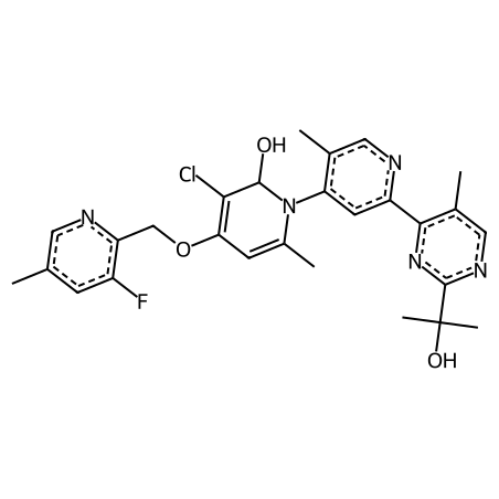 CC1=CC(OCc2ncc(C)cc2F)=C(Cl)C(O)N1c1cc(-c2nc(C(C)(C)O)ncc2C)ncc1C